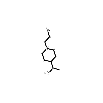 CC(C)CCN1CCC(N(C)I)CC1